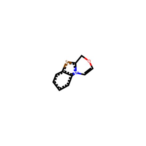 C1=C[n+]2c(sc3ccccc32)CO1